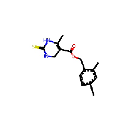 CC1=C(C(=O)OCc2ccc(C)cc2C)CNC(=S)N1